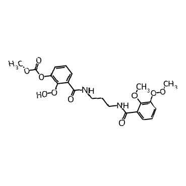 COOc1cccc(C(=O)NCCCNC(=O)c2cccc(OC(=O)OC)c2OO)c1OC